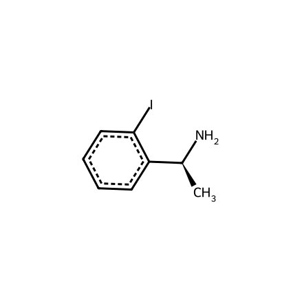 C[C@H](N)c1ccccc1I